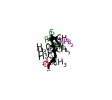 CC(C)(CC(C)(C)C(C)(C)C1(F)C(F)C1(C)C(F)(F)P)C1CO1